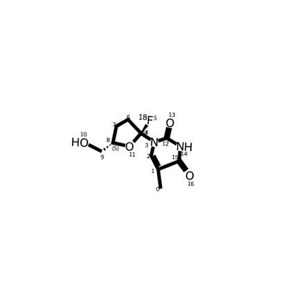 Cc1cn([C@@]2([18F])CC[C@@H](CO)O2)c(=O)[nH]c1=O